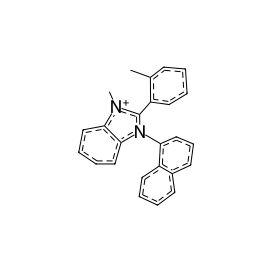 Cc1ccccc1-c1n(-c2cccc3ccccc23)c2ccccc2[n+]1C